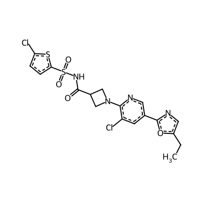 CCc1cnc(-c2cnc(N3CC(C(=O)NS(=O)(=O)c4ccc(Cl)s4)C3)c(Cl)c2)o1